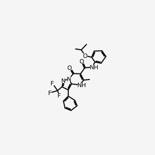 Cc1[nH]c2c(-c3ccccc3)c(C(F)(F)F)nn2c(=O)c1C(=O)Nc1ccccc1OC(C)C